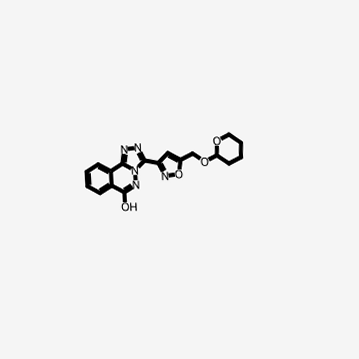 Oc1nn2c(-c3cc(COC4CCCCO4)on3)nnc2c2ccccc12